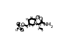 CC[C@@H](C(N)=O)N1C[C@@H](COS(C)(=O)=O)CCC1=O